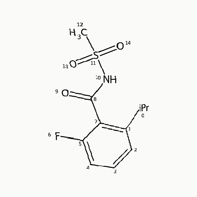 CC(C)c1cccc(F)c1C(=O)NS(C)(=O)=O